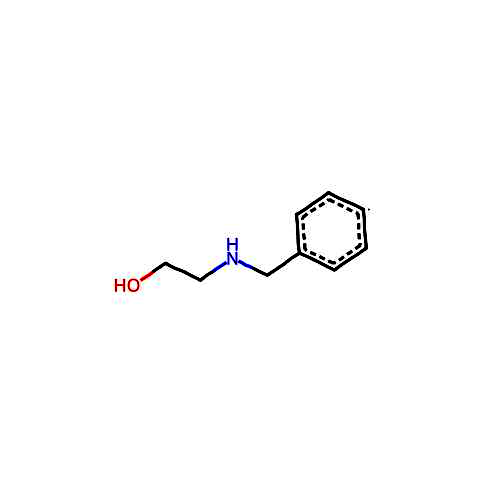 OCCNCc1cc[c]cc1